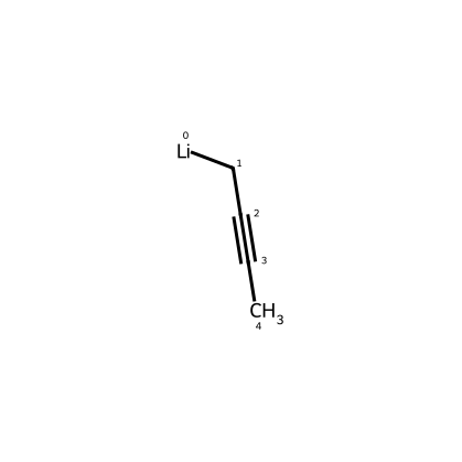 [Li][CH2]C#CC